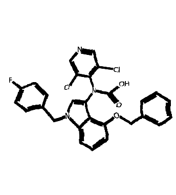 O=C(O)N(c1c(Cl)cncc1Cl)c1cn(Cc2ccc(F)cc2)c2cccc(OCc3ccccc3)c12